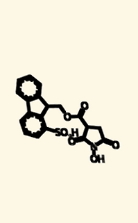 O=C(OCC1c2ccccc2-c2cccc(S(=O)(=O)O)c21)C1CC(=O)N(O)C1=O